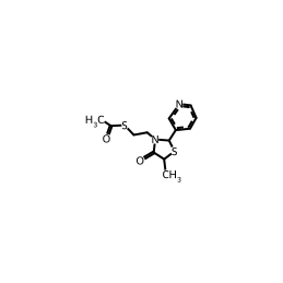 CC(=O)SCCN1C(=O)C(C)SC1c1cccnc1